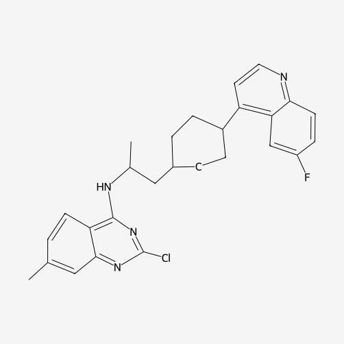 Cc1ccc2c(NC(C)CC3CCC(c4ccnc5ccc(F)cc45)CC3)nc(Cl)nc2c1